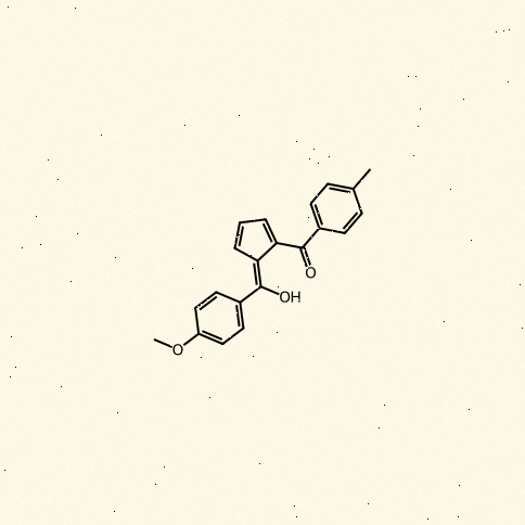 COc1ccc(/C(O)=C2\C=CC=C2C(=O)c2ccc(C)cc2)cc1